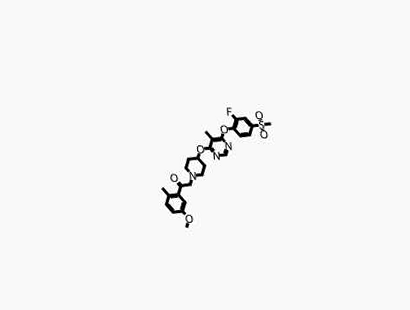 COc1ccc(C)c(C(=O)CN2CCC(Oc3ncnc(Oc4ccc(S(C)(=O)=O)cc4F)c3C)CC2)c1